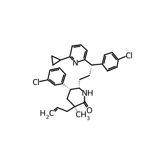 C=CC[C@@]1(C)C[C@H](c2cccc(Cl)c2)[C@H](CC[C@@H](c2ccc(Cl)cc2)c2cccc(C3CC3)n2)NC1=O